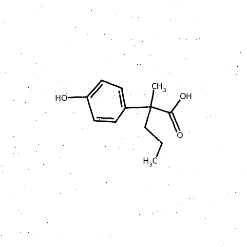 CCCC(C)(C(=O)O)c1ccc(O)cc1